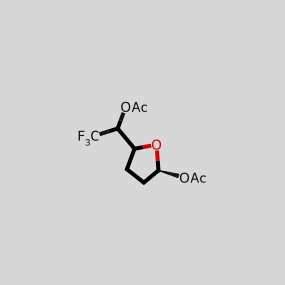 CC(=O)OC(C1CC[C@H](OC(C)=O)O1)C(F)(F)F